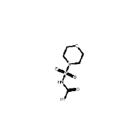 CC(C)C(=O)NS(=O)(=O)N1CCOCC1